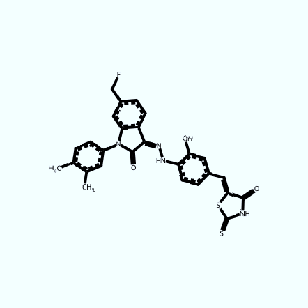 Cc1ccc(N2C(=O)/C(=N\Nc3ccc(/C=C4\SC(=S)NC4=O)cc3O)c3ccc(CF)cc32)cc1C